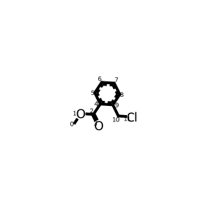 COC(=O)c1ccccc1CCl